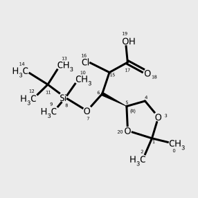 CC1(C)OC[C@H](C(O[Si](C)(C)C(C)(C)C)C(Cl)C(=O)O)O1